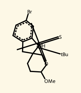 COC1CCC2(CC1)Cc1ccc(Br)cc1C21NC(=S)N(C(C)(C)C)C1=O